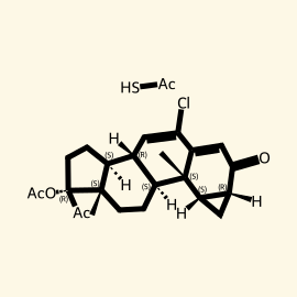 CC(=O)O[C@]1(C(C)=O)CC[C@H]2[C@@H]3C=C(Cl)C4=CC(=O)[C@@H]5C[C@@H]5[C@]4(C)[C@H]3CC[C@@]21C.CC(=O)S